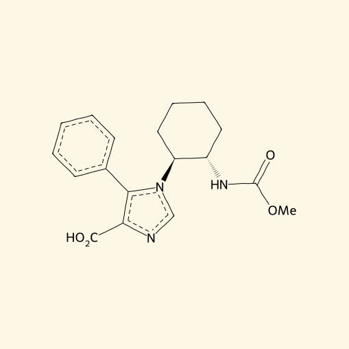 COC(=O)N[C@H]1CCCC[C@@H]1n1cnc(C(=O)O)c1-c1ccccc1